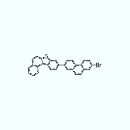 Brc1ccc2c(ccc3cc(-c4ccc5c(c4)sc4ccc6ccccc6c45)ccc32)c1